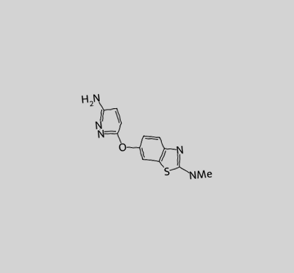 CNc1nc2ccc(Oc3ccc(N)nn3)cc2s1